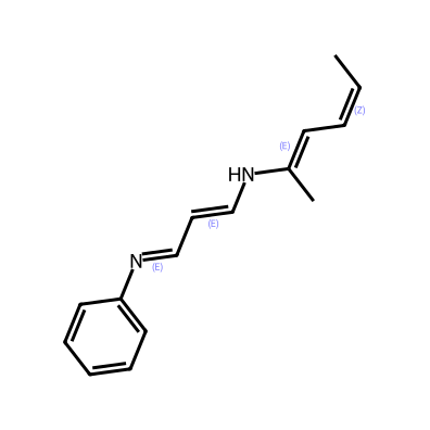 C/C=C\C=C(/C)N/C=C/C=N/c1ccccc1